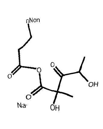 CCCCCCCCCCCC(=O)OC(=O)C(C)(O)C(=O)C(C)O.[Na]